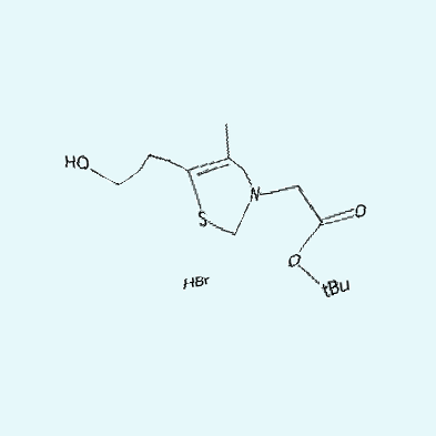 Br.CC1=C(CCO)SCN1CC(=O)OC(C)(C)C